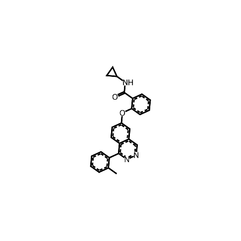 Cc1ccccc1-c1nncc2cc(Oc3ccccc3C(=O)NC3CC3)ccc12